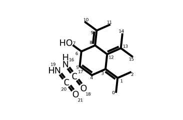 CC(C)=C1C=CC(O)C(=C(C)C)C1=C(C)C.N=C=O.N=C=O